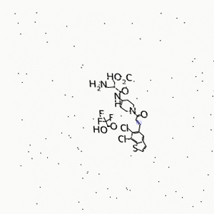 NCC(CC(=O)O)C(=O)NC1CCN(C(=O)/C=C/c2cc3ccsc3c(Cl)c2Cl)CC1.O=C(O)C(F)(F)F